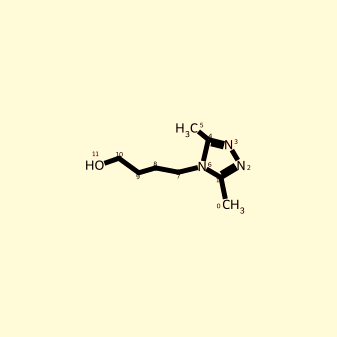 Cc1nnc(C)n1CCCCO